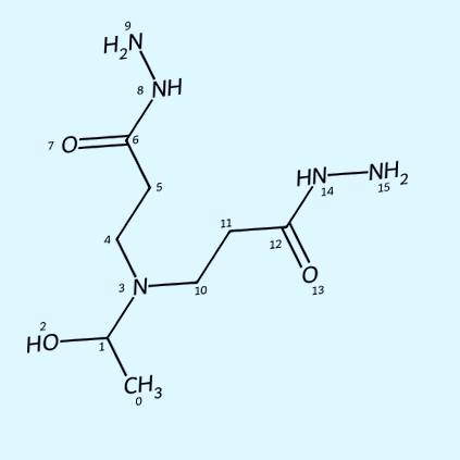 CC(O)N(CCC(=O)NN)CCC(=O)NN